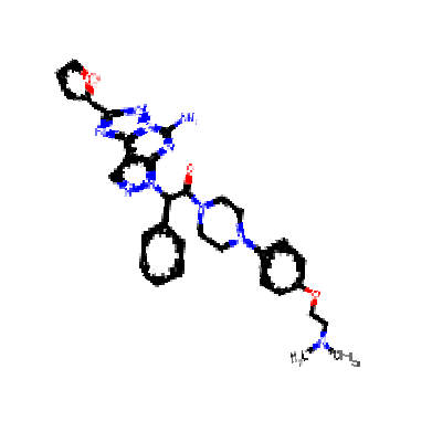 CN(C)CCOc1ccc(N2CCN(C(=O)C(c3ccccc3)n3ncc4c3nc(N)n3nc(-c5ccco5)nc43)CC2)cc1